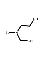 CCN(CO)CCN